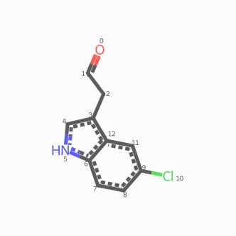 O=[C]Cc1c[nH]c2ccc(Cl)cc12